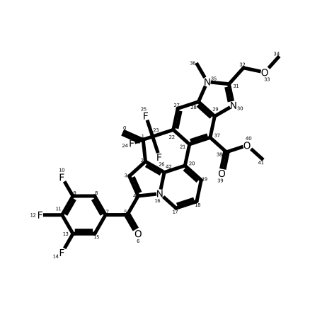 C=Cc1cc(C(=O)c2cc(F)c(F)c(F)c2)n2cccc(-c3c(C(F)(F)F)cc4c(nc(COC)n4C)c3C(=O)OC)c12